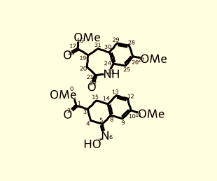 COC(=O)C1CC(=NO)c2cc(OC)ccc2C1.COC(=O)C1CC(=O)Nc2cc(OC)ccc2C1